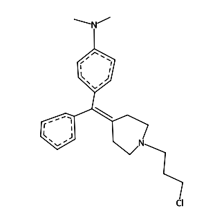 CN(C)c1ccc(C(=C2CCN(CCCCl)CC2)c2ccccc2)cc1